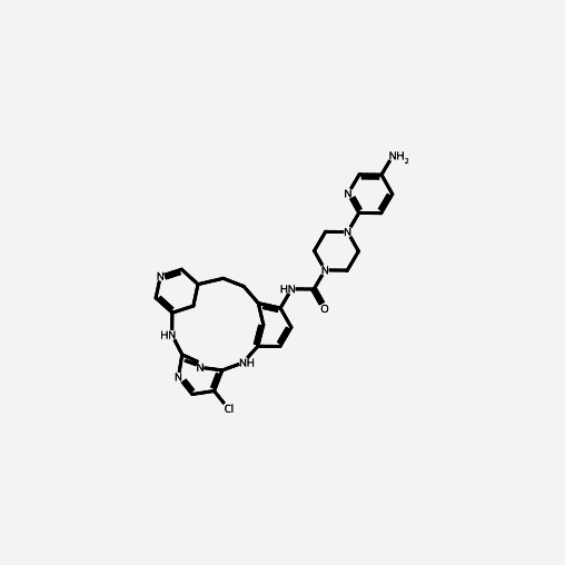 Nc1ccc(N2CCN(C(=O)Nc3ccc4cc3CCC3C=NC=C(C3)Nc3ncc(Cl)c(n3)N4)CC2)nc1